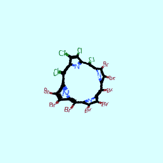 ClC1=C(Cl)C2=C(Cl)C3=NC(=C(Br)C4=NC(=C(Br)C5=NC(=C(Cl)C1=N2)C(Br)=C5Br)C(Br)=C4Br)C(Br)=C3Br